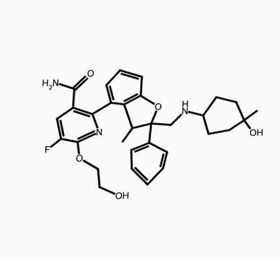 CC1c2c(cccc2-c2nc(OCCO)c(F)cc2C(N)=O)OC1(CNC1CCC(C)(O)CC1)c1ccccc1